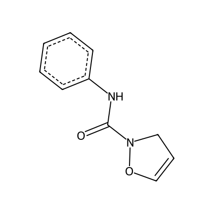 O=C(Nc1ccccc1)N1CC=CO1